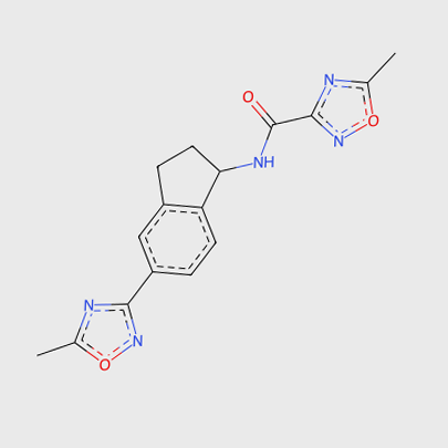 Cc1nc(C(=O)NC2CCc3cc(-c4noc(C)n4)ccc32)no1